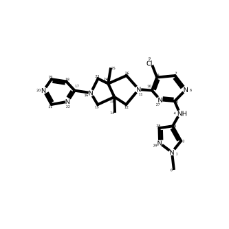 Cn1cc(Nc2ncc(Cl)c(N3CC4(C)CN(c5ccncn5)CC4(C)C3)n2)cn1